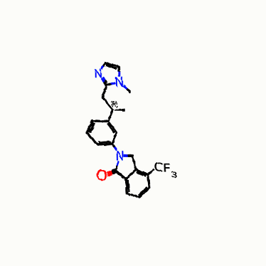 C[C@H](Cc1nccn1C)c1cccc(N2Cc3c(cccc3C(F)(F)F)C2=O)c1